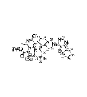 Cc1nc(C#N)c(-c2ccc3c(c2)CCN(c2ncnc4c2oc2ccccc24)C3)c(N2CCC(C)(C)CC2)c1C(OC(C)(C)C)C(=O)OC(C)C